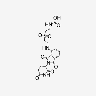 O=C(O)NCCS(=O)(=O)CCNc1cccc2c1C(=O)N(C1CCC(=O)NC1=O)C2=O